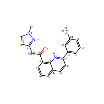 Cn1ccc(NC(=O)c2cccc3ccc(-c4cccc(C(F)(F)F)c4)nc23)n1